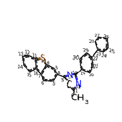 Cc1cc(-c2ccc3c(c2)sc2ccccc23)nc(-c2ccc(-c3ccccc3)cc2)n1